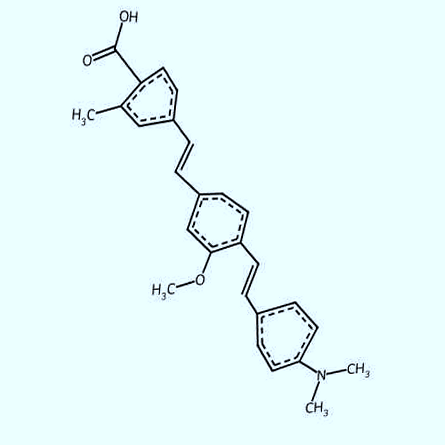 COc1cc(C=Cc2ccc(C(=O)O)c(C)c2)ccc1C=Cc1ccc(N(C)C)cc1